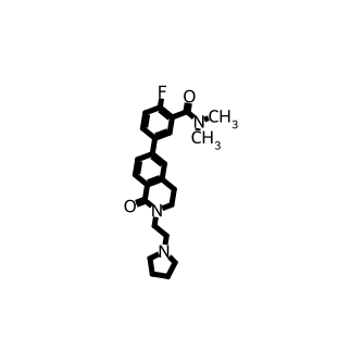 CN(C)C(=O)c1cc(-c2ccc3c(c2)CCN(CCN2CCCC2)C3=O)ccc1F